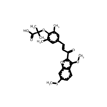 COc1c(C(=O)/C=C/c2cc(C)c(OC(C)(C)C(=O)O)c(C)c2)oc2cc(SC)ccc12